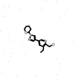 CCc1cc(-c2cnn(C3CCCCO3)c2)cnc1CCl